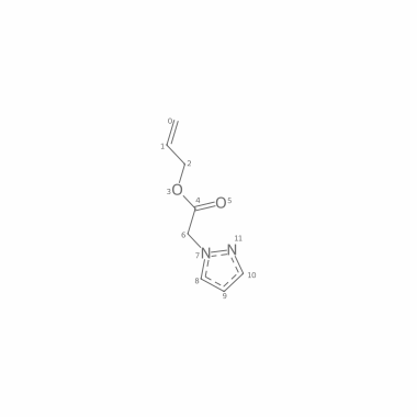 C=CCOC(=O)Cn1cccn1